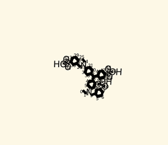 CCN(Cc1cccc(S(=O)(=O)O)c1)c1ccc(C(c2ccc(N(CC)Cc3cccc(S(=O)(=O)O)c3)cc2)c2ccc(S(=O)(=O)O)cc2)cc1